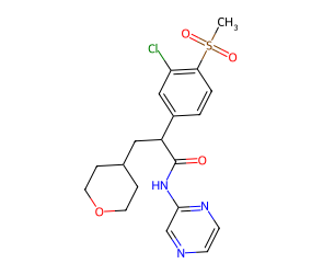 CS(=O)(=O)c1ccc(C(CC2CCOCC2)C(=O)Nc2cnccn2)cc1Cl